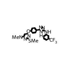 CNc1cc(Oc2ccc(-c3nnc(Nc4cccc(C(F)(F)F)c4)[nH]3)cc2)nc(SC)n1